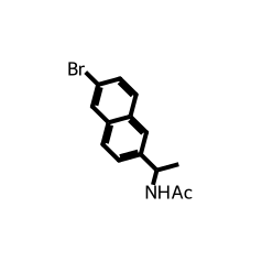 CC(=O)NC(C)c1ccc2cc(Br)ccc2c1